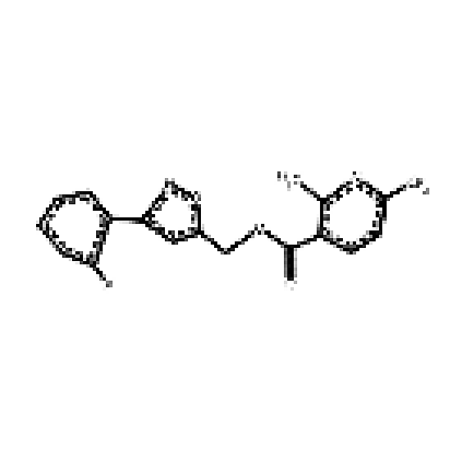 Cc1nc(C(F)(F)F)ccc1C(=O)OCc1cc(-c2ccccc2F)no1